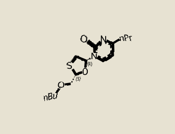 CCCCOC[C@H]1O[C@@H](n2ccc(CCC)nc2=O)CS1